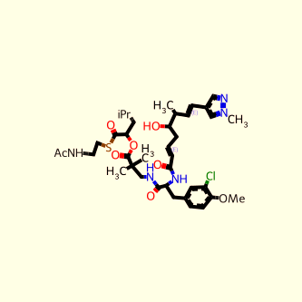 COc1ccc(CC(NC(=O)/C=C/CC(O)C(C)/C=C/c2cnn(C)c2)C(=O)NCC(C)(C)C(=O)OC(CC(C)C)C(=O)SCCNC(C)=O)cc1Cl